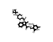 CSc1cc(C)[nH]c(=O)c1CNC(=O)c1c(C)n([C@H](C)[C@H]2CC[C@@H](NC3(C)COC3)CC2)c2ccccc12